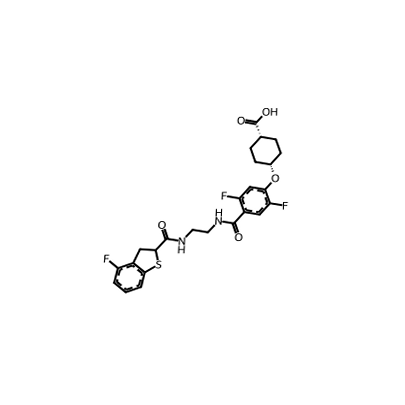 O=C(NCCNC(=O)C1Cc2c(F)cccc2S1)c1cc(F)c(O[C@H]2CC[C@@H](C(=O)O)CC2)cc1F